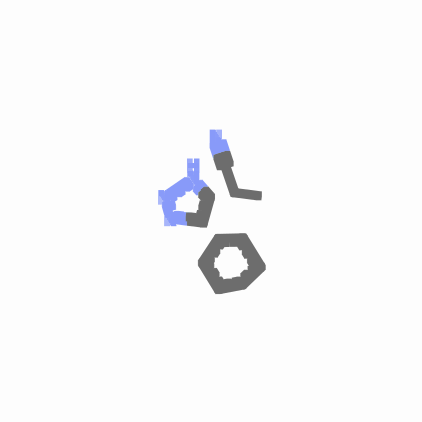 CCC#N.c1c[nH]nn1.c1ccccc1